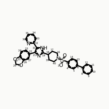 O=S(=O)(c1ccc(-c2ccccc2)cc1)N1CCC(c2nc(-c3ccc4c(c3)OCO4)c(-c3ccccn3)[nH]2)CC1